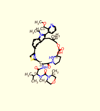 CCn1c(-c2cccnc2[C@H](C)OC)c2c3cc(ccc31)-c1csc(n1)C[C@H](NC(=O)[C@H](C(C)C)N(C)C(=O)N1CCOC[C@@H]1C)C(=O)N1CCC[C@@](O)(N1)C(=O)OCC(C)(C)C2